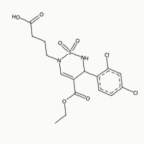 CCOC(=O)C1=CN(CCCC(=O)O)S(=O)(=O)NC1c1ccc(Cl)cc1Cl